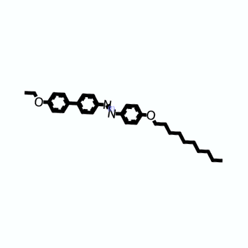 CCCCCCCCCCOc1ccc(/N=N/c2ccc(-c3ccc(OCC)cc3)cc2)cc1